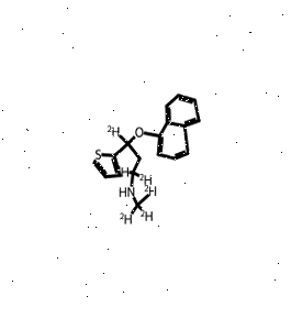 [2H]C([2H])([2H])NC([2H])([2H])CC([2H])(Oc1cccc2ccccc12)c1cccs1